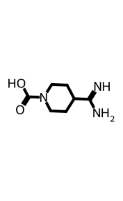 N=C(N)C1CCN(C(=O)O)CC1